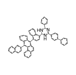 c1ccc(-c2ccc(C3=NC(c4ccccc4)NC(c4ccc(-c5c6ccccc6c(-c6ccc7ccccc7c6)c6c5ccc5ccccc56)c5ccccc45)N3)cc2)cc1